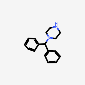 c1ccc([C](c2ccccc2)N2CCNCC2)cc1